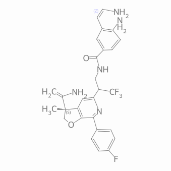 C=C(N)[C@@]1(C)COc2c1cc(C(CNC(=O)c1ccc(N)c(/C=C\N)c1)C(F)(F)F)nc2-c1ccc(F)cc1